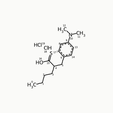 CCCCC(Cc1ccc(N(C)C)cc1)C(O)=S.Cl.Cl